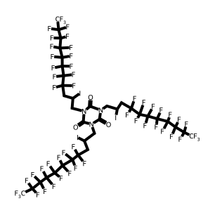 O=c1n(CC(I)CC(F)(F)C(F)(F)C(F)(F)C(F)(F)C(F)(F)C(F)(F)C(F)(F)C(F)(F)F)c(=O)n(CC(I)CC(F)(F)C(F)(F)C(F)(F)C(F)(F)C(F)(F)C(F)(F)C(F)(F)C(F)(F)F)c(=O)n1CC(I)CC(F)(F)C(F)(F)C(F)(F)C(F)(F)C(F)(F)C(F)(F)C(F)(F)C(F)(F)F